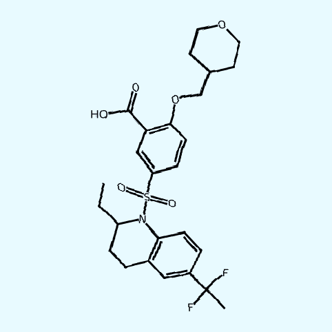 CCC1CCc2cc(C(C)(F)F)ccc2N1S(=O)(=O)c1ccc(OCC2CCOCC2)c(C(=O)O)c1